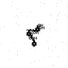 C[C@@H](CNC[C@@H](O)c1ccc(O)c(CO)c1)c1cccc(CC(=O)NCCC2CCCCC2)c1